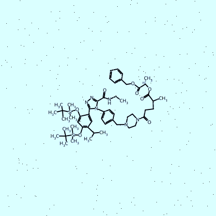 CCNC(=O)c1nnc(-c2cc(C(C)C)c(O[Si](C)(C)C(C)(C)C)cc2O[Si](C)(C)C(C)(C)C)n1-c1ccc(CN2CCN(C(=O)CCC(C)C(=O)O[C@@H](C)C(=O)OCc3ccccc3)CC2)cc1